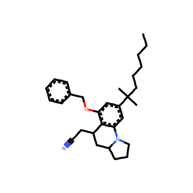 CCCCCCC(C)(C)c1cc(OCc2ccccc2)c2c(c1)N1CCCC1CC2CC#N